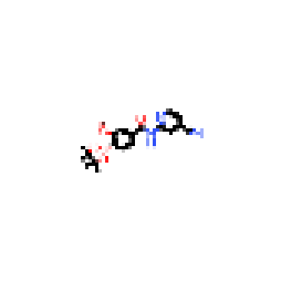 COc1cc(C(=O)Nc2cc(C#N)ccn2)ccc1B1OC(C)(C)C(C)(C)O1